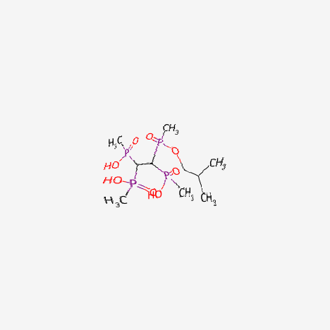 CC(C)COP(C)(=O)C(C(P(C)(=O)O)P(C)(=O)O)P(C)(=O)O